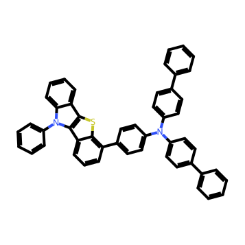 c1ccc(-c2ccc(N(c3ccc(-c4ccccc4)cc3)c3ccc(-c4cccc5c4sc4c6ccccc6n(-c6ccccc6)c54)cc3)cc2)cc1